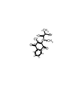 CC(Br)C(=O)N(C)C1=C(Cl)C(=O)c2ccccc2C1=O